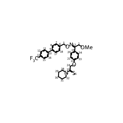 COCC(=NOCc1ccc(-c2ccc(C(F)(F)F)cc2)cc1)c1ccc(OCC(=S)N2CCCCC2)cc1